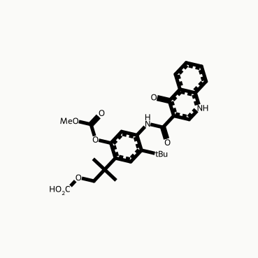 COC(=O)Oc1cc(NC(=O)c2c[nH]c3ccccc3c2=O)c(C(C)(C)C)cc1C(C)(C)COC(=O)O